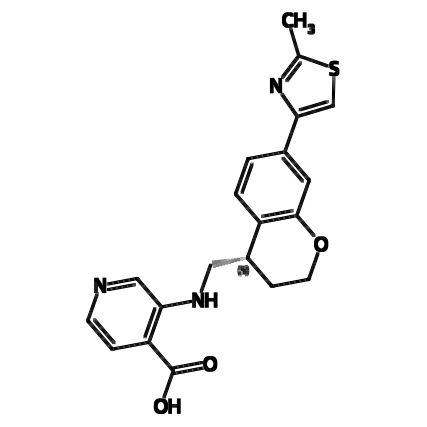 Cc1nc(-c2ccc3c(c2)OCC[C@@H]3CNc2cnccc2C(=O)O)cs1